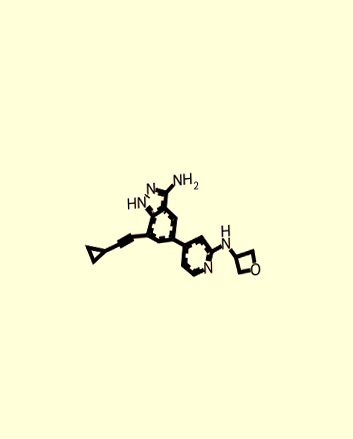 Nc1n[nH]c2c(C#CC3CC3)cc(-c3ccnc(NC4COC4)c3)cc12